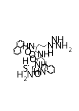 N=C(N)NCCC[C@H](NC(=O)c1cccc2ccccc12)C(=O)N[C@@H](Cc1c[nH]c2ccccc12)C(=O)N[C@@H](CS)C(N)=O